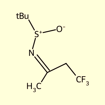 C/C(CC(F)(F)F)=N/[S+]([O-])C(C)(C)C